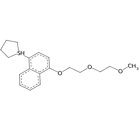 COCCOCCOc1ccc([SH]2CCCC2)c2ccccc12